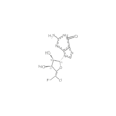 Nc1nc2c(ncn2[C@@H]2OC(=C(F)Cl)[C@@H](O)[C@H]2O)c(=O)[nH]1